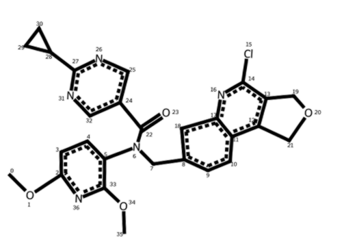 COc1ccc(N(Cc2ccc3c4c(c(Cl)nc3c2)COC4)C(=O)c2cnc(C3CC3)nc2)c(OC)n1